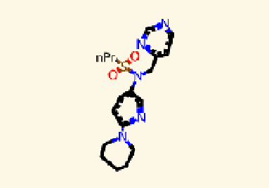 CCCS(=O)(=O)N(Cc1ccncn1)c1ccc(N2CCCCC2)nc1